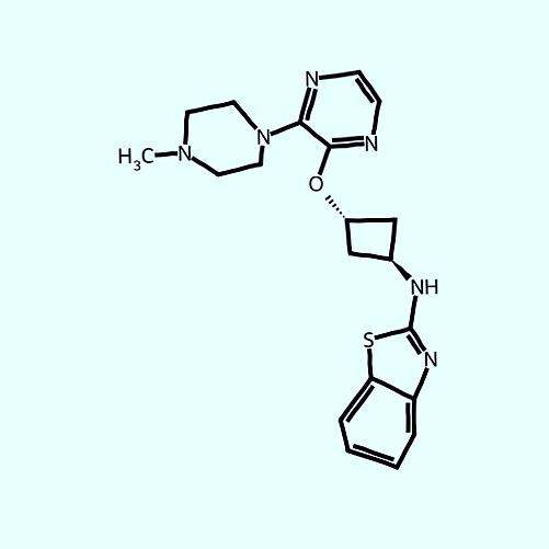 CN1CCN(c2nccnc2O[C@H]2C[C@H](Nc3nc4ccccc4s3)C2)CC1